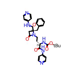 CC(C)(C)OC(=O)N[C@@H](CCN1C(=O)C[C@]1(Cc1ccccc1)C(=O)Nc1ccncc1)C(=O)Nc1ccncc1